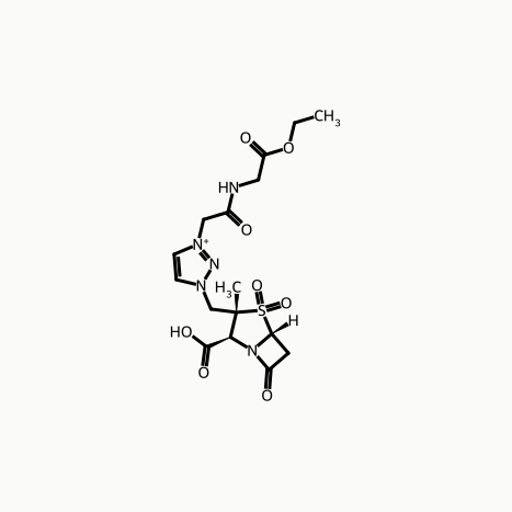 CCOC(=O)CNC(=O)C[n+]1ccn(C[C@@]2(C)[C@H](C(=O)O)N3C(=O)C[C@H]3S2(=O)=O)n1